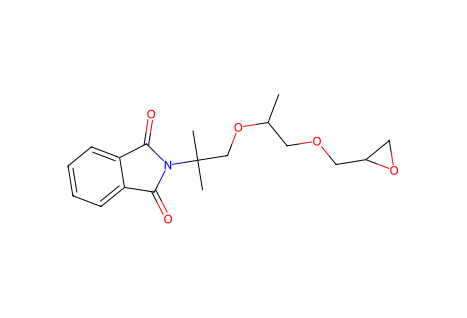 CC(COCC1CO1)OCC(C)(C)N1C(=O)c2ccccc2C1=O